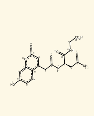 NC(=O)C[C@@H](NC(=O)Cc1cc(=O)oc2cc(O)ccc12)C(=O)NCC(=O)O